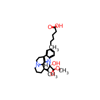 CCCCCC(=O)O.CC[C@]12CCCN3CCc4c(n(c5ccccc45)[C@@](O)(C(=O)OC)C1)[C@@H]32